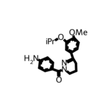 COc1ccc(C2=NN(C(=O)c3ccc(N)cc3)CCC2)cc1OC(C)C